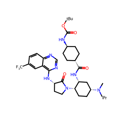 CC(C)N(C)[C@@H]1CC[C@H](N2CC[C@H](Nc3ncnc4ccc(C(F)(F)F)cc34)C2=O)[C@H](NC(=O)[C@H]2CC[C@H](NC(=O)OC(C)(C)C)CC2)C1